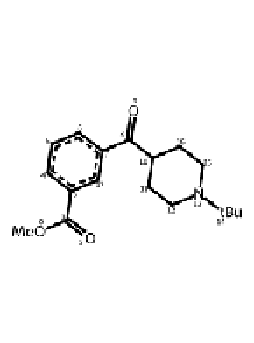 COC(=O)c1cccc(C(=O)C2CCN(C(C)(C)C)CC2)c1